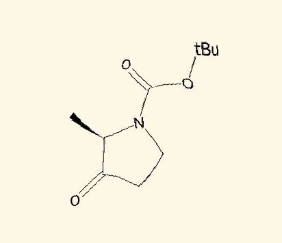 C[C@@H]1C(=O)CCN1C(=O)OC(C)(C)C